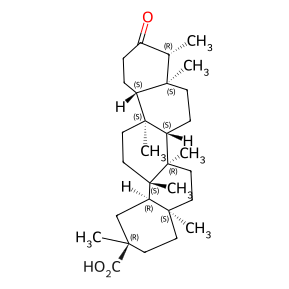 C[C@H]1C(=O)CC[C@@H]2[C@]1(C)CC[C@H]1[C@@]2(C)CC[C@@]2(C)[C@@H]3C[C@](C)(C(=O)O)CC[C@]3(C)CC[C@]12C